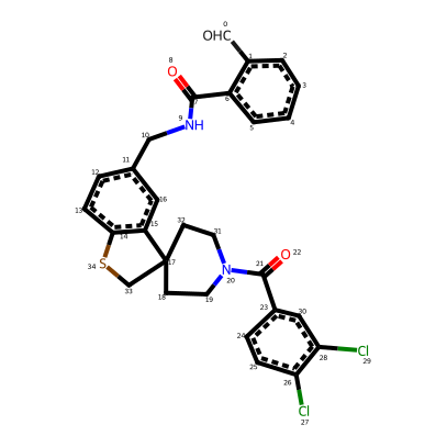 O=Cc1ccccc1C(=O)NCc1ccc2c(c1)C1(CCN(C(=O)c3ccc(Cl)c(Cl)c3)CC1)CS2